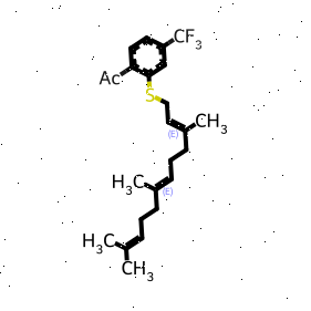 CC(=O)c1ccc(C(F)(F)F)cc1SC/C=C(\C)CC/C=C(\C)CCC=C(C)C